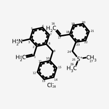 C=Cc1c(N)cccc1Cc1ccccc1.C=Cc1ccccc1C[S+](C)C.[Cl-]